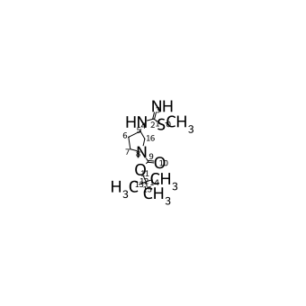 CSC(=N)N[C@H]1CCN(C(=O)OC(C)(C)C)C1